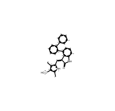 Cc1[nH]c(/C=C2\C(=O)Nc3cccc(-c4ccccc4-c4ccccc4)c32)c(C)c1C(=O)O